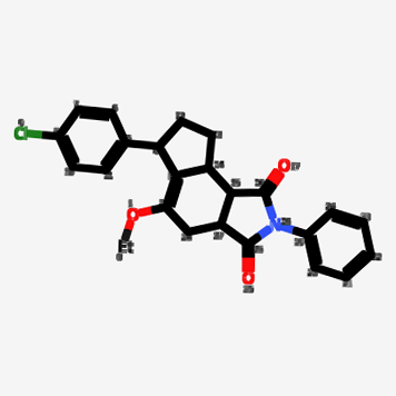 CCOC1=C2C(c3ccc(Cl)cc3)CCC2C2C(=O)N(c3ccccc3)C(=O)C2C1